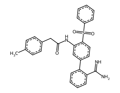 Cc1ccc(CC(=O)Nc2cc(-c3ccccc3C(=N)N)ccc2S(=O)(=O)c2ccccc2)cc1